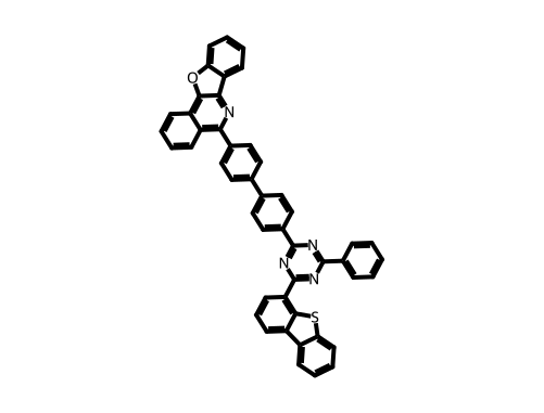 c1ccc(-c2nc(-c3ccc(-c4ccc(-c5nc6c7ccccc7oc6c6ccccc56)cc4)cc3)nc(-c3cccc4c3sc3ccccc34)n2)cc1